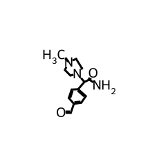 CN1CCN(C(C(N)=O)c2ccc(C=O)cc2)CC1